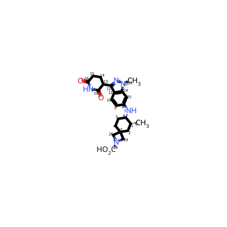 C[C@@H]1CC2(CC[C@@H]1Nc1ccc3c(C4CCC(=O)NC4=O)nn(C)c3c1)CN(C(=O)O)C2